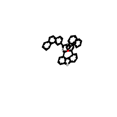 c1ccc(-c2nc(-c3ccc4ccc5ccccc5c4c3)nc(-c3cccc4oc5cccc(-c6ccc7ccccc7c6)c5c34)n2)cc1